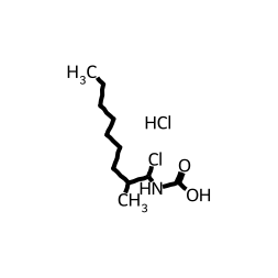 CCCCCCCC(C)C(Cl)NC(=O)O.Cl